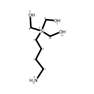 NCCCC[Si](CO)(CO)CO